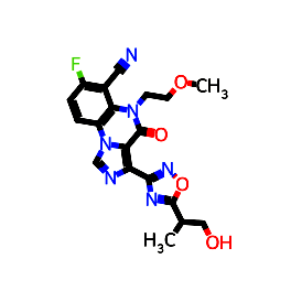 COCCn1c(=O)c2c(-c3noc(C(C)CO)n3)ncn2c2ccc(F)c(C#N)c21